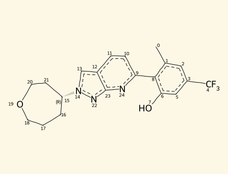 Cc1cc(C(F)(F)F)cc(O)c1-c1ccc2cn([C@@H]3CCCOCC3)nc2n1